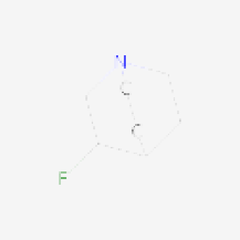 FC1CN2CCC1CC2